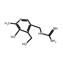 Cc1ncc(CNC(=N)N)c(CO)c1O